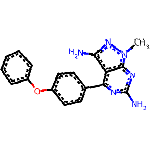 Cn1nc(N)c2c(-c3ccc(Oc4ccccc4)cc3)nc(N)nc21